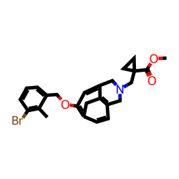 COC(=O)C1(CN2CC3=CC(OCc4cccc(Br)c4C)=C4C=CC(=C3C4)C2)CC1